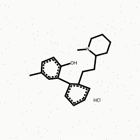 Cc1ccc(O)c(-c2ccccc2CCC2CCCCN2C)c1.Cl